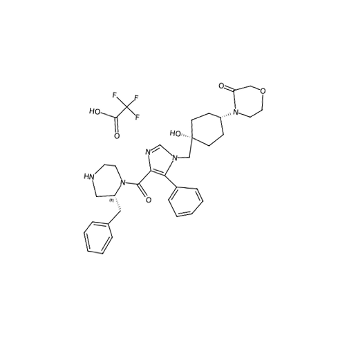 O=C(O)C(F)(F)F.O=C(c1ncn(C[C@]2(O)CC[C@@H](N3CCOCC3=O)CC2)c1-c1ccccc1)N1CCNC[C@H]1Cc1ccccc1